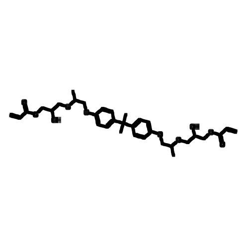 C=CC(=O)OCC(O)COC(C)COc1ccc(C(C)(C)c2ccc(OCC(C)OCC(O)COC(=O)C=C)cc2)cc1